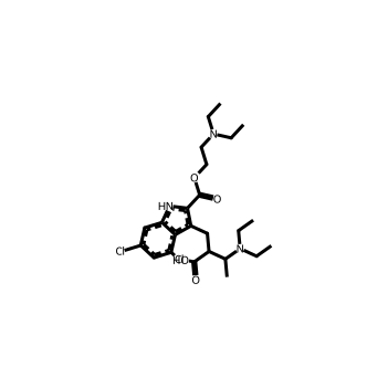 CCN(CC)CCOC(=O)c1[nH]c2cc(Cl)cc(Cl)c2c1CC(C(=O)O)C(C)N(CC)CC